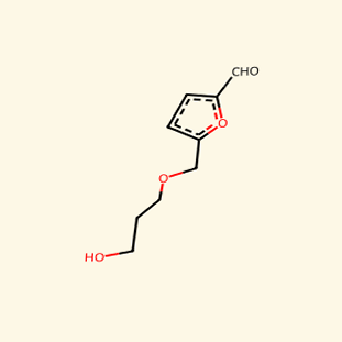 O=Cc1ccc(COCCCO)o1